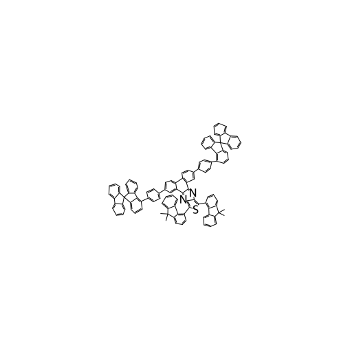 CC1(C)c2ccccc2-c2c(-c3sc(-c4cccc5c4-c4ccccc4C5(C)C)c4nc5c6cc(-c7ccc(-c8cccc9c8-c8ccccc8C98c9ccccc9-c9ccccc98)cc7)ccc6c6ccc(-c7ccc(-c8cccc9c8-c8ccccc8C98c9ccccc9-c9ccccc98)cc7)cc6c5nc34)cccc21